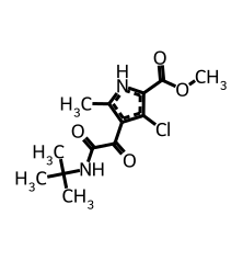 COC(=O)c1[nH]c(C)c(C(=O)C(=O)NC(C)(C)C)c1Cl